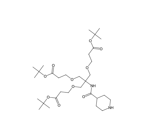 CC(C)(C)OC(=O)CCOCC(COCCC(=O)OC(C)(C)C)(COCCC(=O)OC(C)(C)C)NC(=O)C1CCNCC1